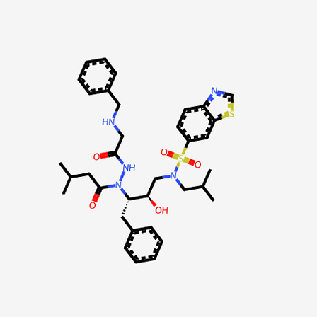 CC(C)CC(=O)N(NC(=O)CNCc1ccccc1)[C@@H](Cc1ccccc1)[C@H](O)CN(CC(C)C)S(=O)(=O)c1ccc2ncsc2c1